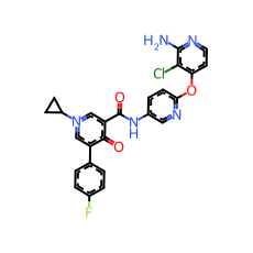 Nc1nccc(Oc2ccc(NC(=O)c3cn(C4CC4)cc(-c4ccc(F)cc4)c3=O)cn2)c1Cl